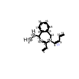 BBC1N=C(C=C)N(/C=C\C=C)Cc2ccccc21